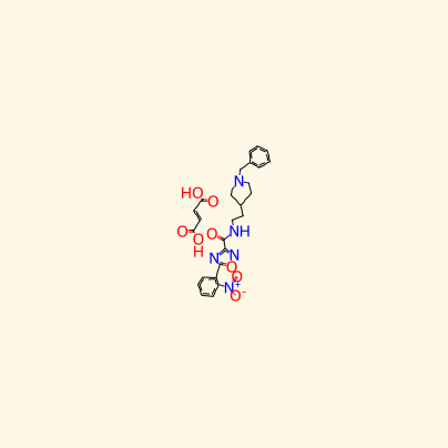 O=C(NCCC1CCN(Cc2ccccc2)CC1)c1noc(-c2ccccc2[N+](=O)[O-])n1.O=C(O)C=CC(=O)O